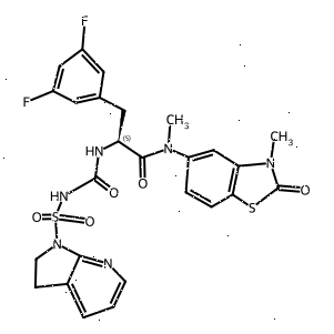 CN(C(=O)[C@H](Cc1cc(F)cc(F)c1)NC(=O)NS(=O)(=O)N1CCc2cccnc21)c1ccc2sc(=O)n(C)c2c1